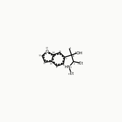 CCNC(CC)C(C)(O)c1ccc2ccoc2c1